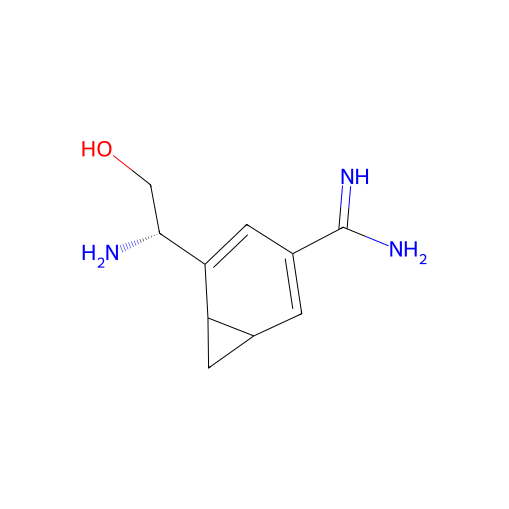 N=C(N)C1=CC2CC2C([C@H](N)CO)=C1